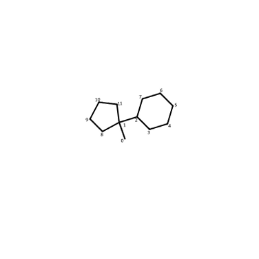 CC1(C2CCCCC2)CCCC1